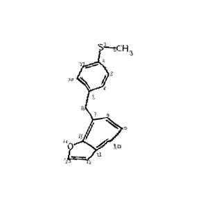 CSc1ccc(Cc2cccc3c[c]oc23)cc1